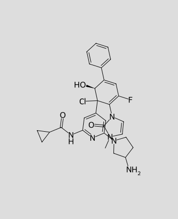 Cn1ccn(C2=C(F)C=C(c3ccccc3)[C@H](O)C2(Cl)c2cc(NC(=O)C3CC3)nc(N3CCC(N)C3)c2)c1=O